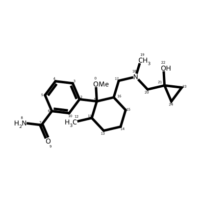 COC1(c2cccc(C(N)=O)c2)C(C)CCCC1CN(C)CC1(O)CC1